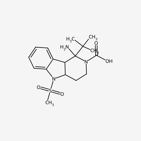 CC(C)(C)C1(N)C2c3ccccc3N(S(C)(=O)=O)C2CCN1C(=O)O